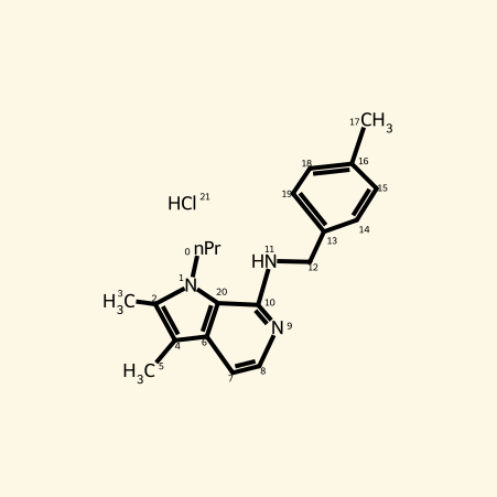 CCCn1c(C)c(C)c2ccnc(NCc3ccc(C)cc3)c21.Cl